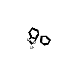 [LiH].c1ccc2ocnc2c1.c1ccccc1